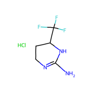 Cl.NC1=NCCC(C(F)(F)F)N1